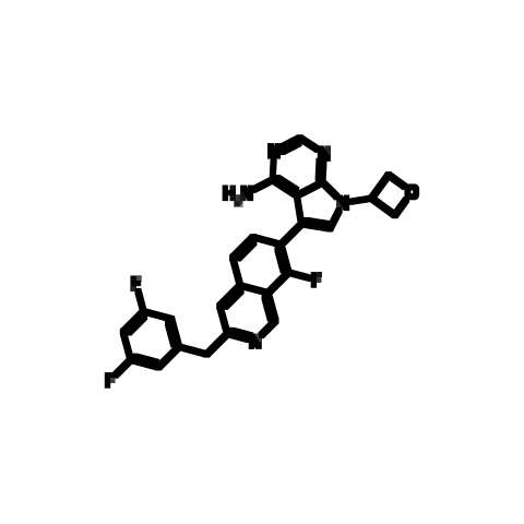 Nc1ncnc2c1c(-c1ccc3cc(Cc4cc(F)cc(F)c4)ncc3c1F)cn2C1COC1